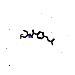 C=C(C)CCc1ccc(C(=C)/N=C(\CC)CF)cc1